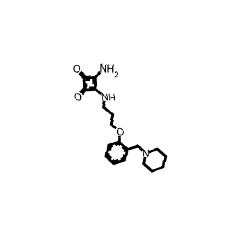 Nc1c(NCCCOc2ccccc2CN2CCCCC2)c(=O)c1=O